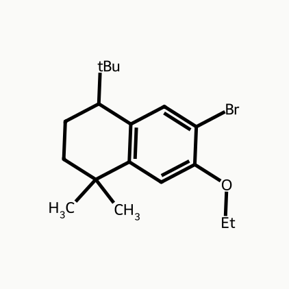 CCOc1cc2c(cc1Br)C(C(C)(C)C)CCC2(C)C